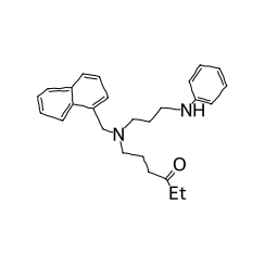 CCC(=O)CCCN(CCCNc1ccccc1)Cc1cccc2ccccc12